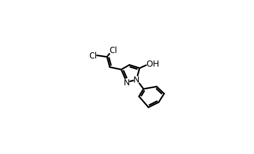 Oc1cc(C=C(Cl)Cl)nn1-c1ccccc1